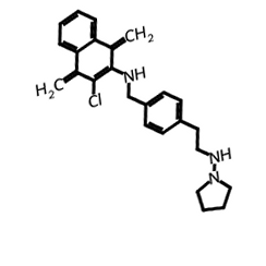 C=c1c(Cl)c(NCc2ccc(CCNN3CCCC3)cc2)c(=C)c2ccccc12